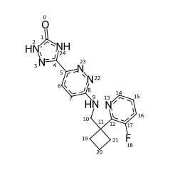 O=c1[nH]nc(-c2ccc(NCC3(c4ncccc4F)CCC3)nn2)[nH]1